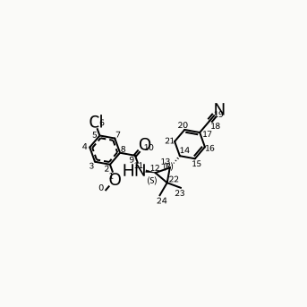 COc1ccc(Cl)cc1C(=O)N[C@H]1[C@H](C2C=CC(C#N)=CC2)C1(C)C